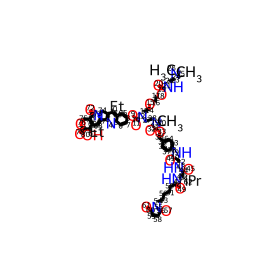 CCc1c2c(nc3ccc(OC(=O)N(CCOCCOC(=O)NCCN(C)C)CCN(C)C(=O)OCc4ccc(NC(=O)CNC(=O)[C@@H](NC(=O)CCCCCN5C(=O)C=CC5=O)C(C)C)cc4)cc13)-c1cc3c(c(=O)n1C2)COC(=O)C3(O)CC